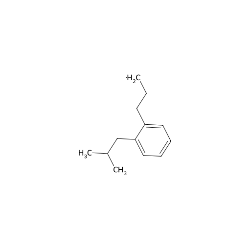 [CH2]CCc1ccccc1CC(C)C